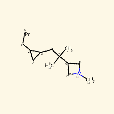 CC(C)CC1CC1CC(C)(C)C1CN(C)C1